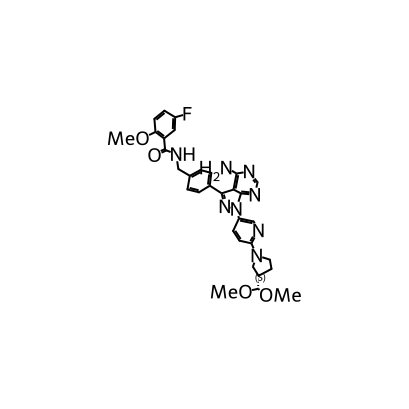 COc1ccc(F)cc1C(=O)NCc1ccc(-c2nn(-c3ccc(N4CC[C@H](C(OC)OC)C4)nc3)c3ncnc(N)c23)cc1